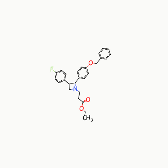 CCOC(=O)CCN1CC(c2ccc(F)cc2)C1c1ccc(OCc2ccccc2)cc1